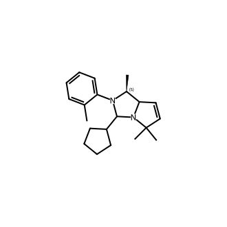 Cc1ccccc1N1C(C2CCCC2)N2C(C=CC2(C)C)[C@@H]1C